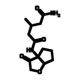 CC(CC(N)=O)CC(=O)NC12CCCC1OCC2=O